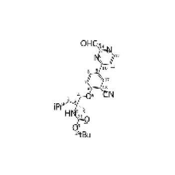 CC(C)C[C@@](C)(COc1ccc(-c2ccnc(C=O)n2)cc1C#N)NC(=O)OC(C)(C)C